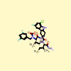 CCC(C)[C@H](NC(=O)[C@@]1(NC(=O)[C@H](C(C)CC)N(Cc2cc(F)cc(F)c2)C(=O)O)CCc2[nH]c3c(Cl)cc(F)cc3c2C1)C(N)=O